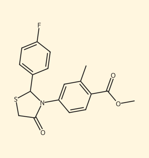 COC(=O)c1ccc(N2C(=O)CSC2c2ccc(F)cc2)cc1C